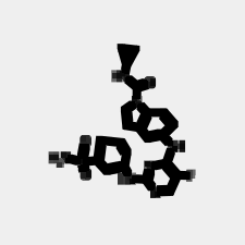 NS(=O)(=O)c1cccc(Nc2ncc(F)c(Nc3ccc4c(ccn4C(=O)NC4CC4)c3)n2)c1